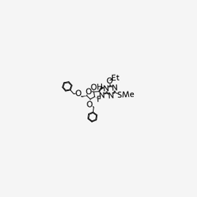 CCOc1nc(SC)nc2nc([C@]3(O)O[C@H](COCc4ccccc4)[C@@H](OCc4ccccc4)[C@H]3F)cn12